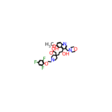 COc1ccc2ncc(CN3CCOCC3)c([C@@H](O)CCC3(CC(=O)O)CCN(CCOc4c(F)cc(F)cc4F)CC3)c2c1